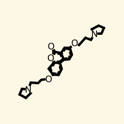 O=c1oc2cc(OCCCN3CCCC3)ccc2c2ccc(OCCCN3CCCC3)cc12